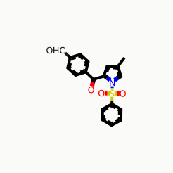 Cc1cc(C(=O)c2ccc(C=O)cc2)n(S(=O)(=O)c2ccccc2)c1